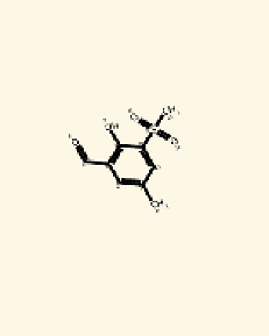 Cc1cc(C=O)c(O)c(S(C)(=O)=O)c1